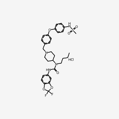 CCCCN(C(=O)Nc1ccc2c(c1)OC(F)(F)O2)C1CCN(Cc2ccc(Oc3ccc(NS(C)(=O)=O)cc3)cc2)CC1.Cl